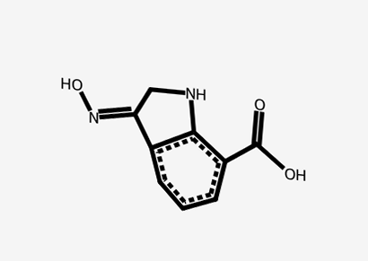 O=C(O)c1cccc2c1NCC2=NO